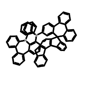 c1ccc(N(c2ccc3c(c2)C2(c4ccccc4-c4ccccc4-3)c3ccccc3-c3c2ccc2c3-c3ccccc3C2)c2cccc3c2N(c2ccccc2)c2ccccc2-c2ccccc2-3)cc1